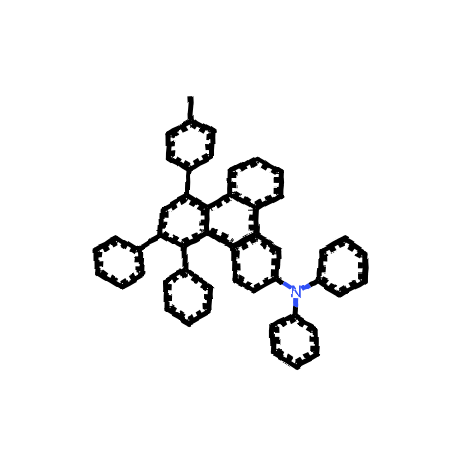 Cc1ccc(-c2cc(-c3ccccc3)c(-c3ccccc3)c3c4ccc(N(c5ccccc5)c5ccccc5)cc4c4ccccc4c23)cc1